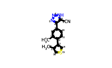 Cc1cc(-c2nn[nH]c2C#N)ccc1-c1cscc1C